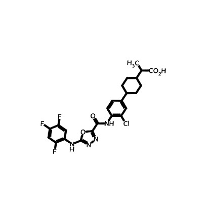 CC(C(=O)O)C1CCC(c2ccc(NC(=O)c3nnc(Nc4cc(F)c(F)cc4F)o3)c(Cl)c2)CC1